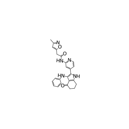 Cc1cc(CC(=O)Nc2cc(-c3[nH]c4c(c3Nc3ccccc3)C(=O)CCC4)ccn2)on1